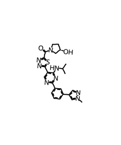 CC(C)Nc1nc(-c2cccc(-c3cnn(C)c3)c2)ncc1-c1nnc(C(=O)N2CC[C@@H](O)C2)s1